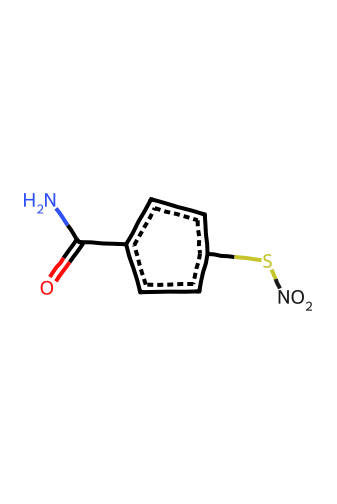 NC(=O)c1ccc(S[N+](=O)[O-])cc1